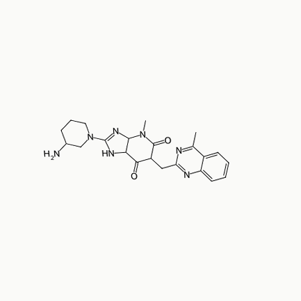 Cc1nc(CC2C(=O)C3NC(N4CCCC(N)C4)=NC3N(C)C2=O)nc2ccccc12